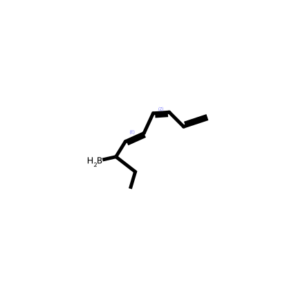 BC(/C=C/C=C\C=C)CC